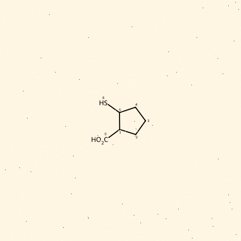 O=C(O)C1CCCC1S